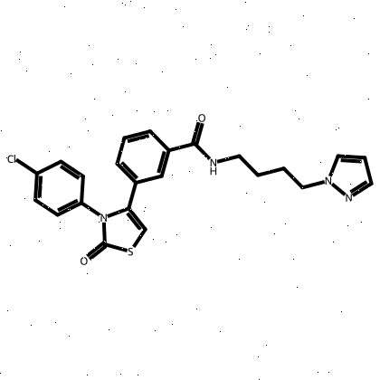 O=C(NCCCCn1cccn1)c1cccc(-c2csc(=O)n2-c2ccc(Cl)cc2)c1